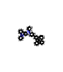 c1ccc(N(c2ccc(-c3ccc4c(c3)-c3ccccc3C4(c3ccccc3)c3ccccc3)cc2)c2ccc3c(c2)c2ccccc2n3-c2ccccc2)cc1